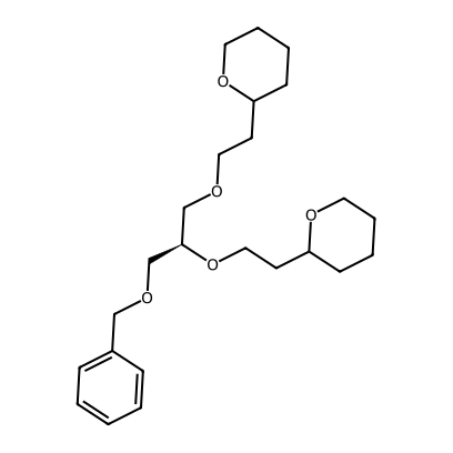 c1ccc(COC[C@@H](COCCC2CCCCO2)OCCC2CCCCO2)cc1